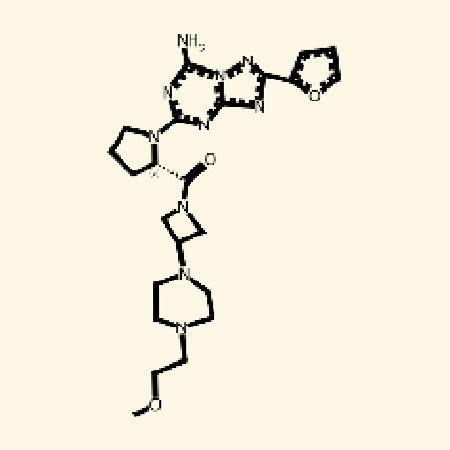 COCCN1CCN(C2CN(C(=O)[C@@H]3CCCN3c3nc(N)n4nc(-c5ccco5)nc4n3)C2)CC1